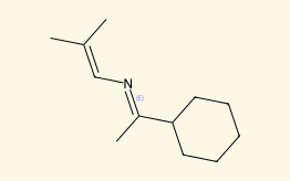 CC(C)=C/N=C(\C)C1CCCCC1